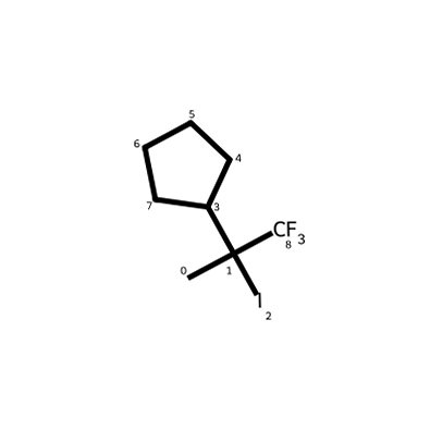 CC(I)(C1CCCC1)C(F)(F)F